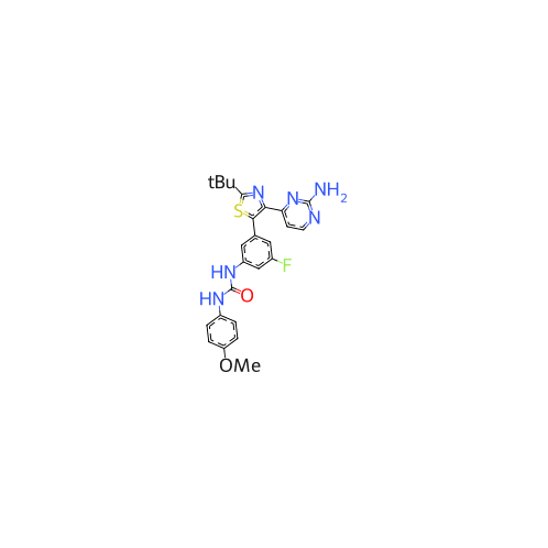 COc1ccc(NC(=O)Nc2cc(F)cc(-c3sc(C(C)(C)C)nc3-c3ccnc(N)n3)c2)cc1